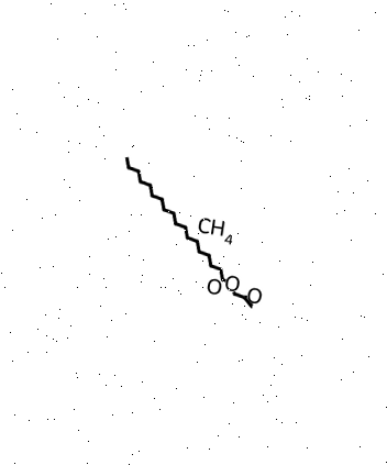 C.CCCCCCCCCCCCCCCCCC(=O)OCC1CO1